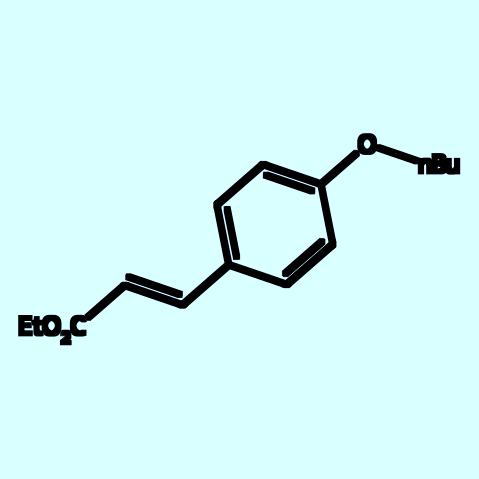 CCCCOc1ccc(C=CC(=O)OCC)cc1